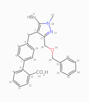 CCCCc1c(Cc2ccc(-c3ccccc3C(=O)O)cc2)c(COCc2ccccc2)nn1C